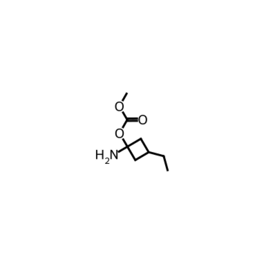 CCC1CC(N)(OC(=O)OC)C1